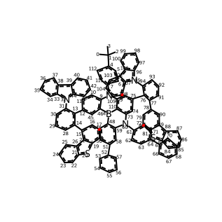 CC(C)(C)c1ccc(N2c3ccc(-c4c(-c5cccc6sc7ccccc7c56)cccc4-n4c5ccccc5c5ccccc54)cc3B3c4ccc(-c5ccccc5)cc4N(c4ccc(-c5ccccc5)cc4)c4cc(-c5c(-c6ccc7sc8ccccc8c7c6)cccc5-n5c6ccccc6c6ccccc65)cc2c43)cc1